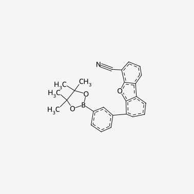 CC1(C)OB(c2cccc(-c3cccc4c3oc3c(C#N)cccc34)c2)OC1(C)C